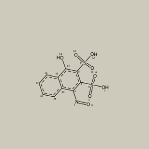 O=Nc1c(S(=O)(=O)O)c(S(=O)(=O)O)c(O)c2ccccc12